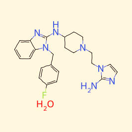 Nc1nccn1CCN1CCC(Nc2nc3ccccc3n2Cc2ccc(F)cc2)CC1.O